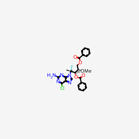 CO[C@H](COC(=O)c1ccccc1)[C@@H](OC(=O)c1ccccc1)[C@@](C)(F)n1cnc2c(Cl)nc(N)nc21